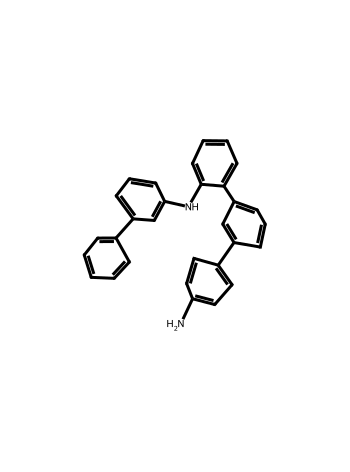 Nc1ccc(-c2cccc(-c3ccccc3Nc3cccc(-c4ccccc4)c3)c2)cc1